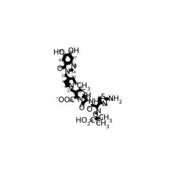 C[C@@H]1S[C@@H]2[C@H](NC(=O)/C(=N\OC(C)(C)C(=O)O)c3csc(N)n3)C(=O)N2C(C(=O)[O-])=C1C[N+]12CCC(Cn3cnc4cc(O)c(O)cc4c3=O)(CC1)C2